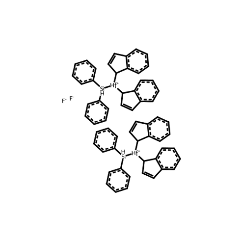 C1=C[CH]([Hf+]([CH]2C=Cc3ccccc32)[SiH](c2ccccc2)c2ccccc2)c2ccccc21.C1=C[CH]([Hf+]([CH]2C=Cc3ccccc32)[SiH](c2ccccc2)c2ccccc2)c2ccccc21.[F-].[F-]